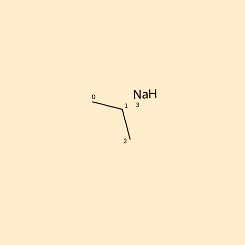 CCC.[NaH]